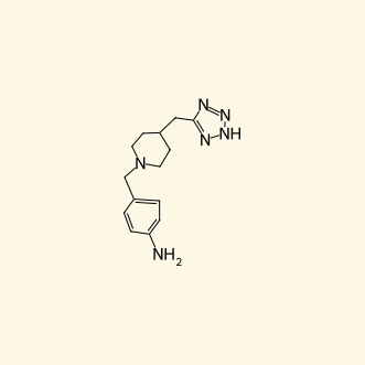 Nc1ccc(CN2CCC(Cc3nn[nH]n3)CC2)cc1